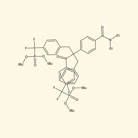 CCN(CC)C(=O)c1ccc(C(Cc2ccc(C(F)(F)P(=O)(OC(C)(C)C)OC(C)(C)C)cc2)(Cc2ccc(C(F)(F)P(=O)(OC(C)(C)C)OC(C)(C)C)cc2)C(=O)c2ccc(F)cc2)cc1